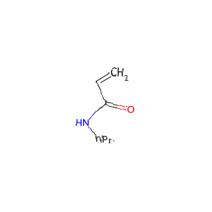 C=CC(=O)N[CH]CC